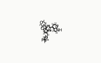 C[C@@H]1COCCN1c1nc(-c2ccnc3[nH]ccc23)nc2c(CN3CC(F)(F)C3)csc12